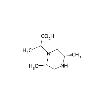 CC(C(=O)O)N1C[C@H](C)NC[C@H]1C